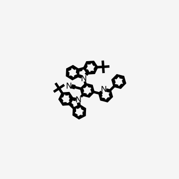 CC(C)(C)c1ccc2c3ccccc3n(-c3cc(-c4cccc(-c5ccccc5)n4)cc(-n4c5ccccc5c5ccc(C(C)(C)C)cc54)c3C#N)c2c1